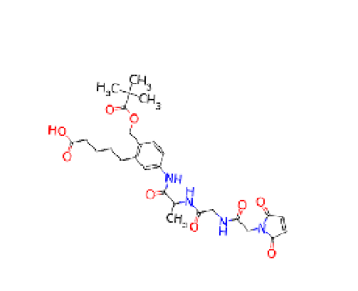 CC(NC(=O)CNC(=O)CN1C(=O)C=CC1=O)C(=O)Nc1ccc(COC(=O)C(C)(C)C)c(CCCCC(=O)O)c1